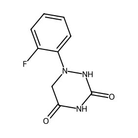 O=C1CN(c2ccccc2F)NC(=O)N1